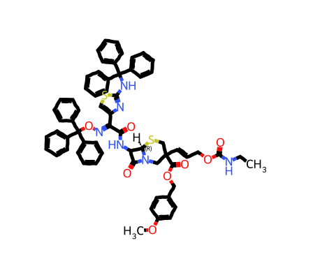 CCNC(=O)OCC=CC1(C(=O)OCc2ccc(OC)cc2)CS[C@@H]2C(NC(=O)C(=NOC(c3ccccc3)(c3ccccc3)c3ccccc3)c3csc(NC(c4ccccc4)(c4ccccc4)c4ccccc4)n3)C(=O)N2C1